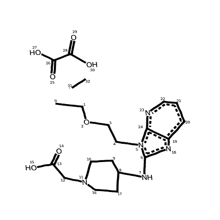 CCOCCn1c(NC2CCN(CC(=O)O)CC2)nc2cccnc21.O=C(O)C(=O)O.[CH2]C